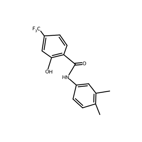 Cc1ccc(NC(=O)c2ccc(C(F)(F)F)cc2O)cc1C